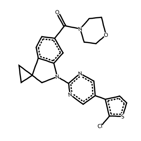 O=C(c1ccc2c(c1)N(c1ncc(-c3ccsc3Cl)cn1)CC21CC1)N1CCOCC1